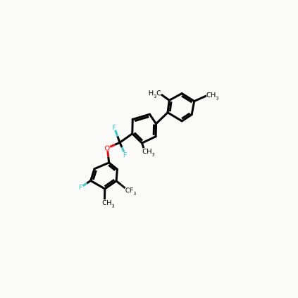 Cc1ccc(-c2ccc(C(F)(F)Oc3cc(F)c(C)c(C(F)(F)F)c3)c(C)c2)c(C)c1